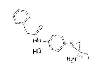 CC[C@]1(N)C[C@H]1c1ccc(NC(=O)Cc2ccccc2)cc1.Cl